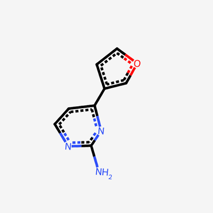 Nc1nccc(-c2ccoc2)n1